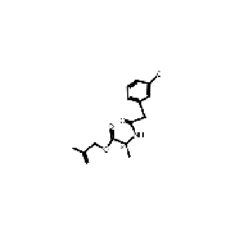 C=C(C)COC(=O)[C@H](C)NC(=O)Cc1cccc(Cl)c1